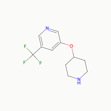 FC(F)(F)c1cncc(OC2CCNCC2)c1